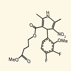 COC(=O)CCCOC(=O)C1=C(C)NC(C)=C([N+](=O)[O-])C1c1ccc(F)c(F)c1OC